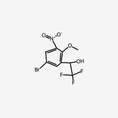 COc1c(C(O)C(F)(F)F)cc(Br)cc1[N+](=O)[O-]